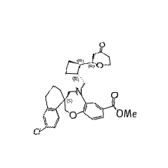 COC(=O)c1ccc2c(c1)N(C[C@@H]1CC[C@H]1[C@H]1CC(=O)CCO1)C[C@@]1(CCCc3cc(Cl)ccc31)CO2